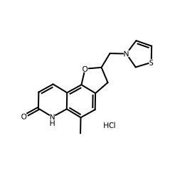 Cc1cc2c(c3ccc(=O)[nH]c13)OC(CN1C=CSC1)C2.Cl